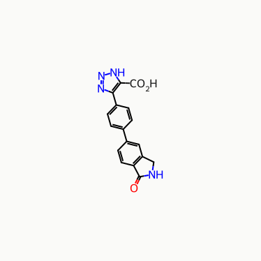 O=C1NCc2cc(-c3ccc(-c4nn[nH]c4C(=O)O)cc3)ccc21